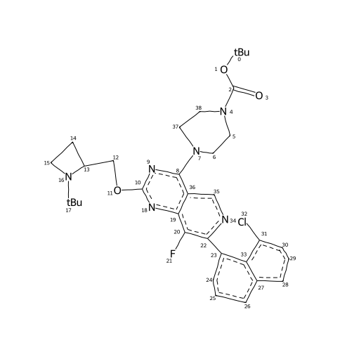 CC(C)(C)OC(=O)N1CCN(c2nc(OCC3CCN3C(C)(C)C)nc3c(F)c(-c4cccc5cccc(Cl)c45)ncc23)CC1